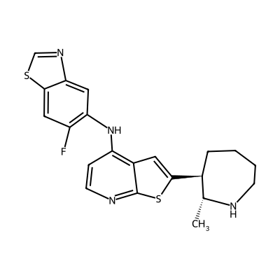 C[C@H]1NCCCC[C@@H]1c1cc2c(Nc3cc4ncsc4cc3F)ccnc2s1